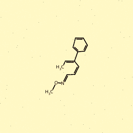 C\C=C(/C=C\C=N\OC)c1ccccc1